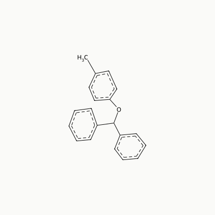 Cc1ccc(OC(c2ccccc2)c2ccccc2)cc1